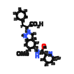 COc1cc2nn(C(Cc3ccccc3)C(=O)O)cc2cc1NC(=O)c1cccc(C)n1